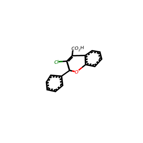 O=C(O)C1=C(Cl)C(c2ccccc2)Oc2ccccc21